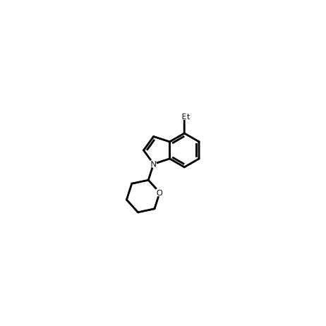 CCc1cccc2c1ccn2C1CCCCO1